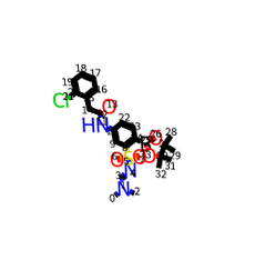 CN(C)/C=N/S(=O)(=O)c1cc(NC(=O)Cc2ccccc2Cl)ccc1B1OC(C)(C)C(C)(C)O1